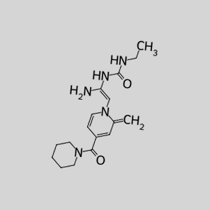 C=C1C=C(C(=O)N2CCCCC2)C=CN1/C=C(\N)NC(=O)NCC